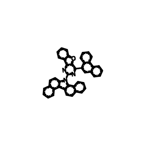 c1ccc2c(c1)cc(-c1nc(-n3c4ccc5ccccc5c4c4ccc5ccccc5c43)nc3c1oc1ccccc13)c1ccccc12